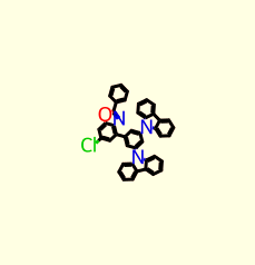 Clc1cc(-c2cc(-n3c4ccccc4c4ccccc43)cc(-n3c4ccccc4c4ccccc43)c2)c2nc(-c3ccccc3)oc2c1